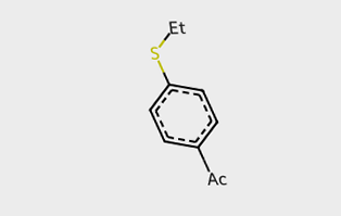 CCSc1ccc(C(C)=O)cc1